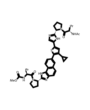 COC(=O)N[C@H](C(=O)N1CCC[C@H]1c1nc2ccc3cc(-c4sc(-c5cnc([C@@H]6CCCN6C(=O)[C@@H](NC(C)=O)C(C)C)[nH]5)cc4C4CC4)ccc3c2[nH]1)C(C)C